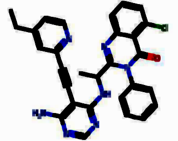 CCc1ccnc(C#Cc2c(N)ncnc2NC(C)c2nc3cccc(Cl)c3c(=O)n2-c2ccccc2)c1